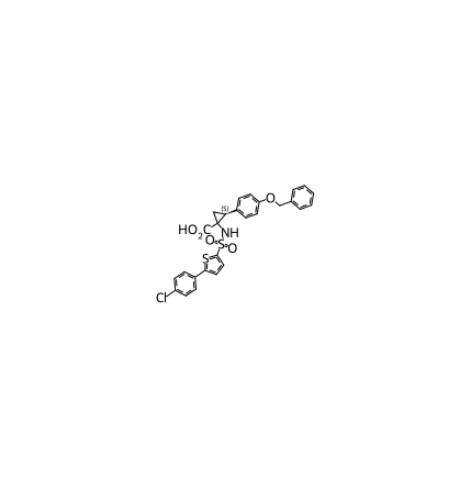 O=C(O)C1(NS(=O)(=O)c2ccc(-c3ccc(Cl)cc3)s2)C[C@H]1c1ccc(OCc2ccccc2)cc1